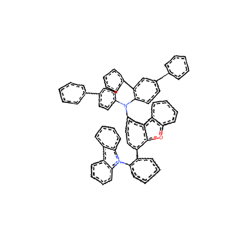 c1ccc(-c2ccc(N(c3ccc(-c4ccccc4)cc3-c3ccccc3)c3ccc(-c4ccccc4-n4c5ccccc5c5ccccc54)c4oc5ccccc5c34)cc2)cc1